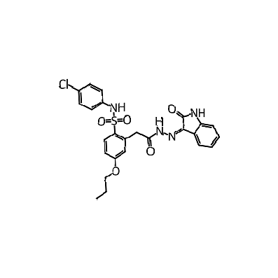 CCCOc1ccc(S(=O)(=O)Nc2ccc(Cl)cc2)c(CC(=O)NN=C2C(=O)Nc3ccccc32)c1